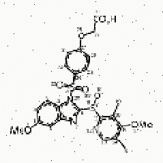 COc1ccc2c(c1)nc([S+]([O-])c1ncc(C)c(OC)c1C)n2S(=O)(=O)c1ccc(OCC(=O)O)cc1